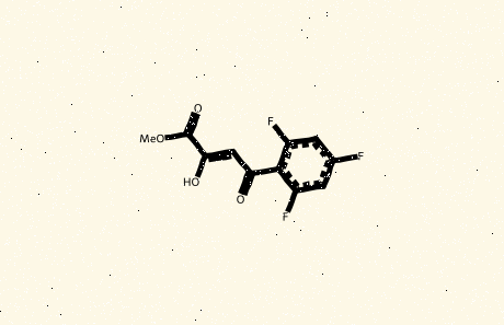 COC(=O)/C(O)=C/C(=O)c1c(F)cc(F)cc1F